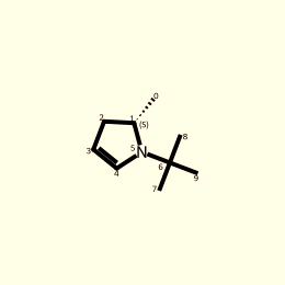 C[C@H]1CC=CN1C(C)(C)C